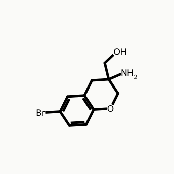 NC1(CO)COc2ccc(Br)cc2C1